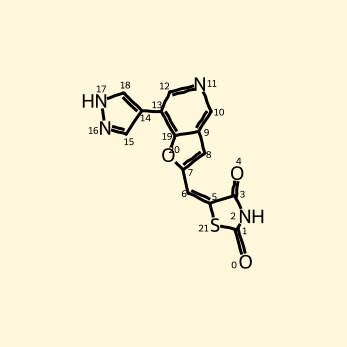 O=C1NC(=O)/C(=C\c2cc3cncc(-c4cn[nH]c4)c3o2)S1